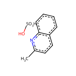 Cc1ccc2ccccc2n1.O=S(=O)(O)O